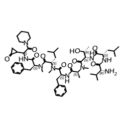 CC(C)C[C@H](NC(=O)[C@H](N)C(C)C)C(=O)N[C@H](C(=O)N(C)[C@@H](C)C(=O)N[C@@H](Cc1ccccc1)C(=O)N(C)[C@@H](CC(C)C)C(=O)N(C)[C@@H](Cc1ccccc1)C(=O)N[C@H](C(=O)N1CCCCC1)C1CC1=O)[C@@H](C)O